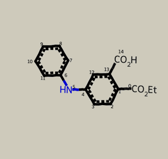 CCOC(=O)c1ccc(Nc2ccccc2)cc1C(=O)O